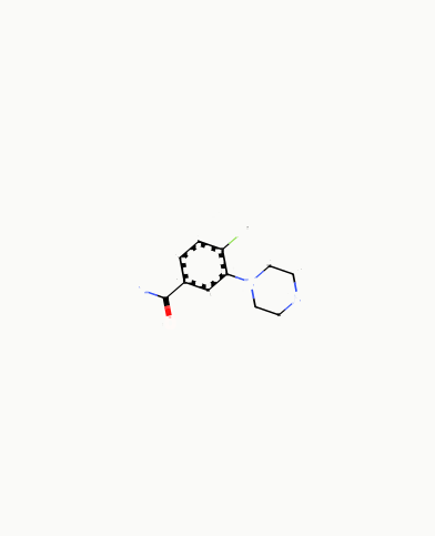 Cl.NC(=O)c1ccc(F)c(N2CCNCC2)c1